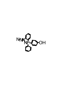 [N-]=[N+]=NN=P(c1ccccc1)(c1ccccc1)c1ccc(O)cc1